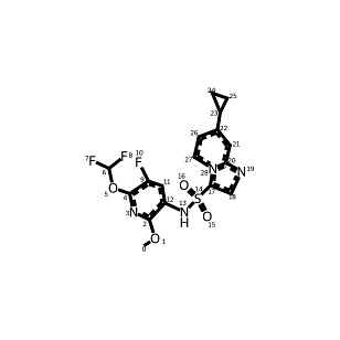 COc1nc(OC(F)F)c(F)cc1NS(=O)(=O)c1cnc2cc(C3CC3)ccn12